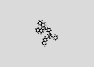 C1=Cc2cc(-c3nc(-c4ccccc4)nc(-c4ccnc(-n5c6c(c7c8ccccc8ccc75)-c5ccccc5CC6)c4)n3)ccc2CC1